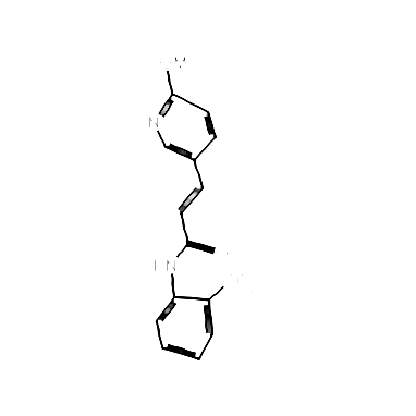 COc1ccc(/C=C/C(=O)Nc2ccccc2C(=O)O)cn1